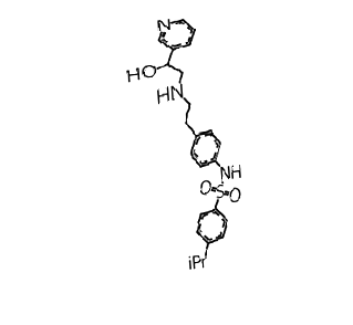 CC(C)c1ccc(S(=O)(=O)Nc2ccc(CCNCC(O)c3cccnc3)cc2)cc1